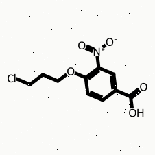 O=C(O)c1ccc(OCCCCl)c([N+](=O)[O-])c1